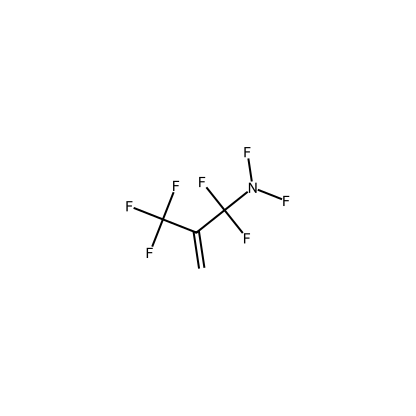 C=C(C(F)(F)F)C(F)(F)N(F)F